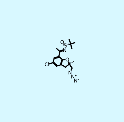 CC(=N[S@+]([O-])C(C)(C)C)c1cc(Cl)cc2c1O[C@@](C)(CN=[N+]=[N-])C2